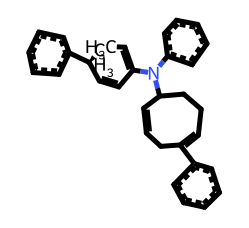 C/C=C(\C=C/[C@H](C)c1ccccc1)N(c1ccccc1)C1/C=C\C/C(c2ccccc2)=C\CC1